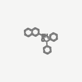 c1ccc(C(O[SiH2]c2ccc3ccccc3c2)c2ccccc2)cc1